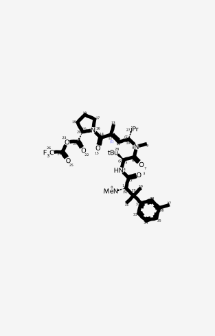 CN[C@H](C(=O)N[C@H](C(=O)N(C)[C@H](/C=C(\C)C(=O)N1CCC[C@H]1C(=O)OC(=O)C(F)(F)F)C(C)C)C(C)(C)C)C(C)(C)c1cccc(C)c1